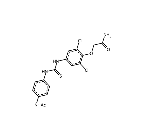 CC(=O)Nc1ccc(NC(=S)Nc2cc(Cl)c(OCC(N)=O)c(Cl)c2)cc1